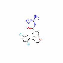 NC(N)=NC(=O)c1ccc2c(c1)C(c1cc(F)ccc1F)=CCO2